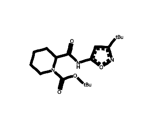 CC(C)(C)OC(=O)N1CCCCC1C(=O)Nc1cc(C(C)(C)C)no1